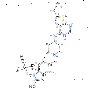 C#CC(Cn1c(C#N)cc2c(C)c(CN3CCC(Nc4ncnc5sc(CC(F)(F)F)cc45)CC3)ccc21)(C(C)C)C(C)C